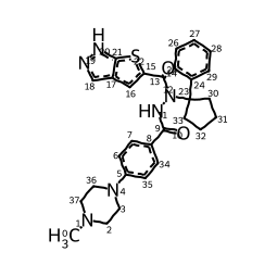 CN1CCN(c2ccc(C(=O)NN(C(=O)c3cc4cn[nH]c4s3)C3(c4ccccc4)CCCC3)cc2)CC1